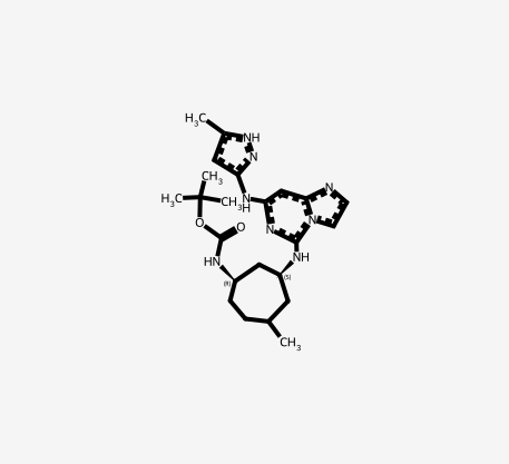 Cc1cc(Nc2cc3nccn3c(N[C@H]3CC(C)CC[C@@H](NC(=O)OC(C)(C)C)C3)n2)n[nH]1